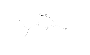 O=Cc1ccn(C(F)F)n1